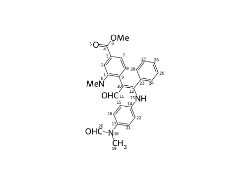 CNc1cc(C(=O)OC)ccc1/C(C=O)=C(/Nc1ccc(N(C)C=O)cc1)c1ccccc1